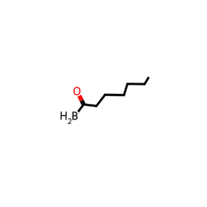 BC(=O)CCCCCC